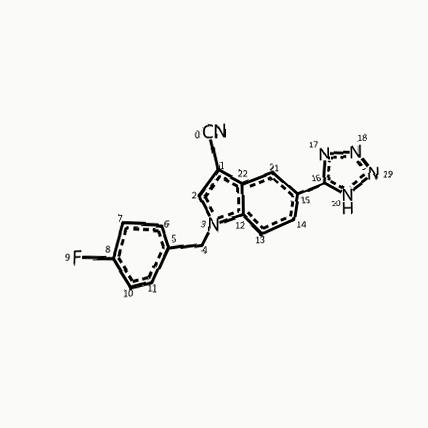 N#Cc1cn(Cc2ccc(F)cc2)c2ccc(-c3nnn[nH]3)cc12